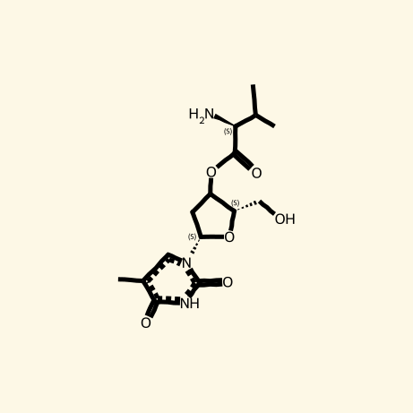 Cc1cn([C@@H]2CC(OC(=O)[C@@H](N)C(C)C)[C@H](CO)O2)c(=O)[nH]c1=O